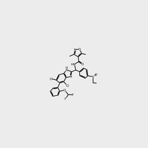 CC[S+]([O-])c1ccc(C(NC(=O)c2c(C)noc2C)c2nc3c(Cl)c(-c4ccccc4OC(F)F)c(Cl)cc3[nH]2)cc1